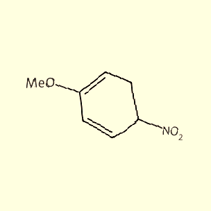 COC1=CCC([N+](=O)[O-])C=C1